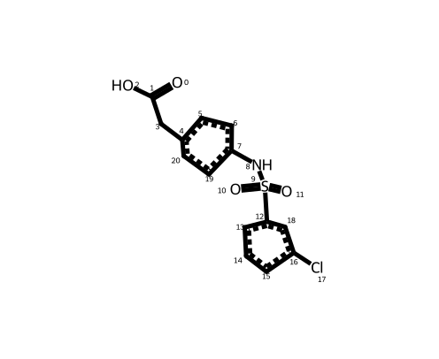 O=C(O)Cc1ccc(NS(=O)(=O)c2cccc(Cl)c2)cc1